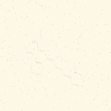 C=c1cccc/c1=C/C=C(C)/C=C(/C=C(\C=C/C)N/C=C/C)c1ccccc1